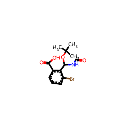 CC(C)(C)OC(NC=O)c1c(Br)cccc1C(=O)O